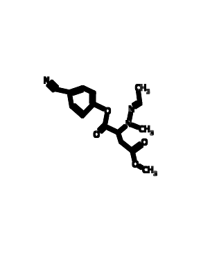 CC=NN(C)C(CC(=O)OC)C(=O)Oc1ccc(C#N)cc1